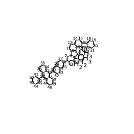 C=C(CC1C(=C)C(C)(C)c2c1ccc1ccc3c4ccccc4oc3c21)c1ccc2cc(-c3c4ccccc4c(-c4ccccc4)c4ccccc34)ccc2c1